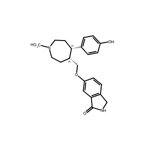 O=C1NCc2ccc(OC[C@@H]3CCN(C(=O)O)CC[C@@H]3c3ccc(O)cc3)cc21